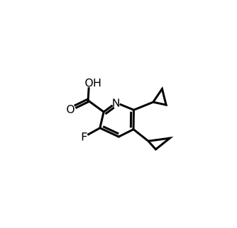 O=C(O)c1nc(C2CC2)c(C2CC2)cc1F